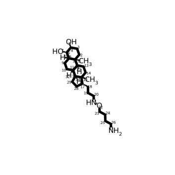 C[C@]12CC[C@H](O)[C@H](O)[C@H]1CC[C@@H]1[C@@H]2CC[C@]2(C)[C@@H](CCCNOCCCCN)CC[C@@H]12